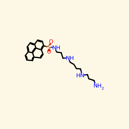 NCCCNCCCCNCCCNS(=O)(=O)c1ccc2ccc3cccc4ccc1c2c34